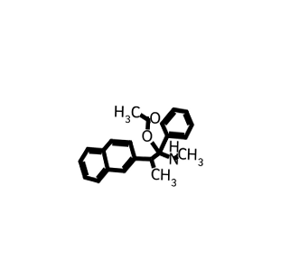 CNC(OC(C)=O)(c1ccccc1)C(C)c1ccc2ccccc2c1